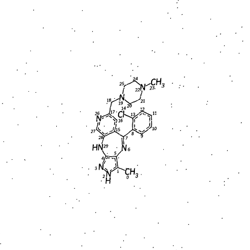 Cc1[nH]nc2c1N=C(c1ccccc1Cl)c1cc(CN3CCN(C)CC3)ncc1N2